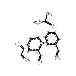 C=C(C)C(=O)O.C=CC=C.C=Cc1ccccc1.C=Cc1ccccn1